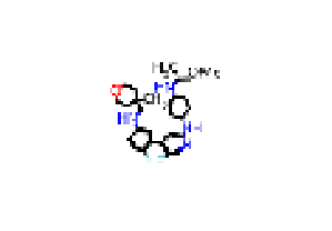 COC[C@@H](C)N[C@H]1CC[C@H](Nc2cc(-c3cc(NCC4(C)CCOCC4)ccc3F)c(F)cn2)CC1